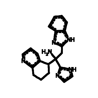 NC(Cc1nc2ccccc2[nH]1)(c1ncc[nH]1)C1CCCc2ncccc21